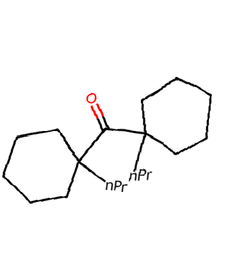 CCCC1(C(=O)C2(CCC)CCCCC2)CCCCC1